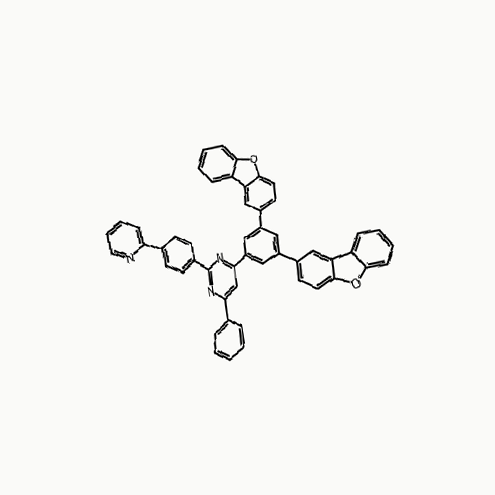 c1ccc(-c2cc(-c3cc(-c4ccc5oc6ccccc6c5c4)cc(-c4ccc5oc6ccccc6c5c4)c3)nc(-c3ccc(-c4ccccn4)cc3)n2)cc1